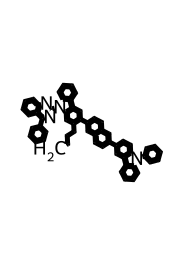 C=CCCc1cc2c(cc1-c1ccc3cc(-c4ccc5c(c4)c4ccccc4n5-c4ccccc4)ccc3c1)c1ccccc1n2-c1nc(-c2ccccc2)c2ccccc2n1